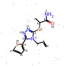 C=CCn1c(SC(C)C(N)=O)nnc1-c1cccs1